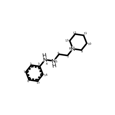 c1ccc(NNCCN2CCCCC2)cc1